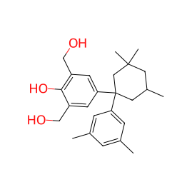 Cc1cc(C)cc(C2(c3cc(CO)c(O)c(CO)c3)CC(C)CC(C)(C)C2)c1